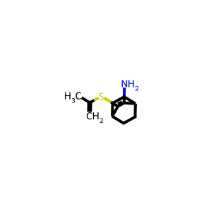 C=C(C)SC1=C(N)C2CCC1CC2